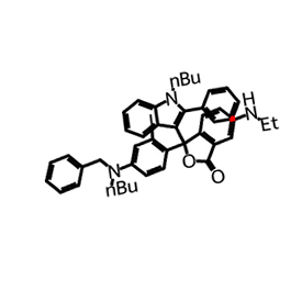 CCCCN(Cc1ccccc1)c1ccc(C2(c3c(-c4ccccc4)n(CCCC)c4ccccc34)OC(=O)c3cc(NCC)ccc32)c(I)c1